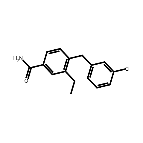 CCc1cc(C(N)=O)ccc1Cc1cccc(Cl)c1